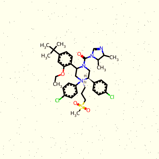 CCOc1cc(C(C)(C)C)ccc1C1C[N@+](CCCS(C)(=O)=O)(c2ccc(Cl)cc2)[C@H](c2ccc(Cl)cc2)CN1C(=O)N1C=NC(C)C1C